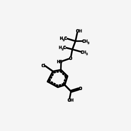 CC(C)(O)C(C)(C)OBc1cc(C(=O)O)ccc1Cl